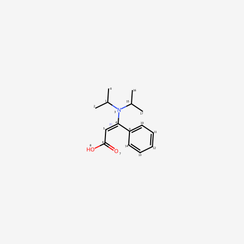 CC(C)N(/C(=C/C(=O)O)c1ccccc1)C(C)C